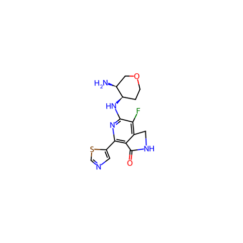 N[C@H]1COCC[C@H]1Nc1nc(-c2cncs2)c2c(c1F)CNC2=O